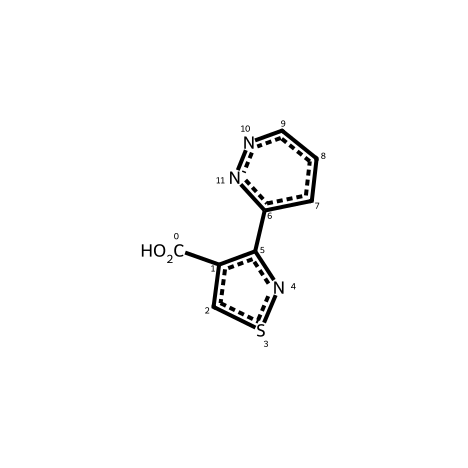 O=C(O)c1csnc1-c1cccnn1